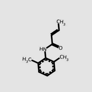 CC=CC(=O)Nc1c(C)cccc1C